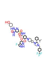 COc1nc2[nH]cc(F)c2cc1Oc1cc(N2CCC3(CC2)CC(N2CCN(Cc4ccc(C(F)(F)F)cc4)C[C@H]2c2ccccc2C(C)C)C3)ccc1C(=O)NS(=O)(=O)c1cnc(NC[C@H]2CC[C@](C)(O)CC2)c([NH+](C)[O-])c1